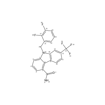 NC(=O)c1cccc2c1c1[c]cc(C(F)(F)F)cc1n2Cc1cccc(F)c1F